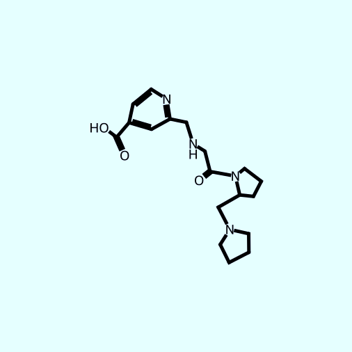 O=C(O)c1ccnc(CNCC(=O)N2CCCC2CN2CCCC2)c1